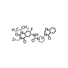 CC(C)n1c(=O)n(CC2CC2)c(=O)c2cc(NC(=O)N3CCC[C@@H](n4cnc5ccccc5c4=O)C3)c(F)cc21